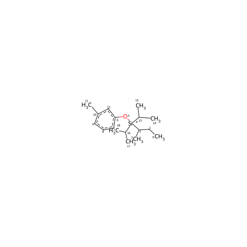 CCC(C)[Si](Oc1cccc(C)c1)(C(C)C)C(C)C